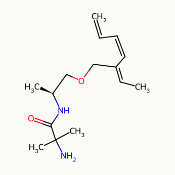 C=C/C=C\C(=C/C)COC[C@H](C)NC(=O)C(C)(C)N